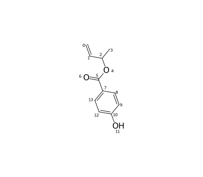 C=CC(C)OC(=O)c1ccc(O)cc1